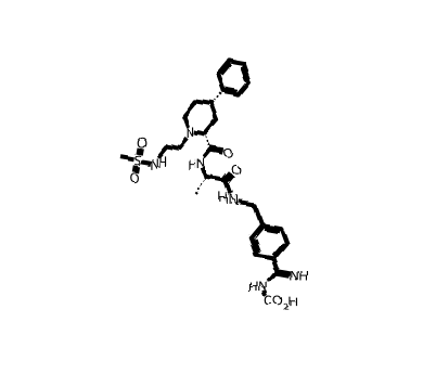 C[C@H](NC(=O)[C@H]1C[C@@H](c2ccccc2)CCN1CCNS(C)(=O)=O)C(=O)NCc1ccc(C(=N)NC(=O)O)cc1